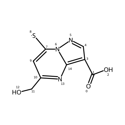 O=C(O)c1cnn2c([S])cc(CO)nc12